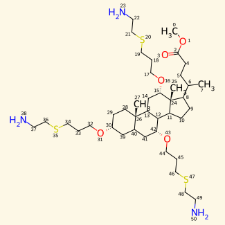 COC(=O)CCC(C)C1CCC2C3C(C[C@H](OCCCSCCN)[C@]12C)[C@@]1(C)CC[C@@H](OCCCSCCN)CC1C[C@H]3OCCCSCCN